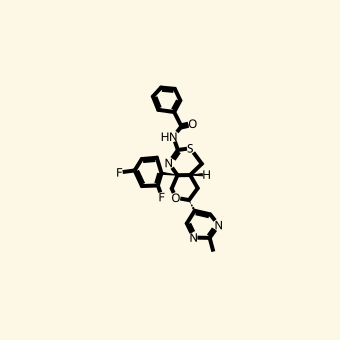 Cc1ncc([C@H]2C[C@H]3CSC(NC(=O)c4ccccc4)=N[C@@]3(c3ccc(F)cc3F)CO2)cn1